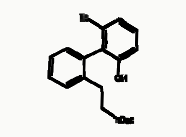 CCCCCCCCCCCCc1ccccc1-c1c(O)cccc1CC